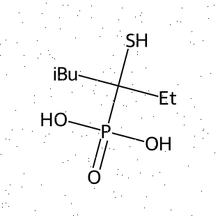 CCC(C)C(S)(CC)P(=O)(O)O